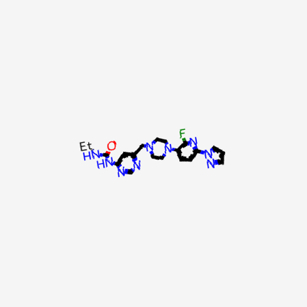 CCNC(=O)Nc1cc(CN2CCN(c3ccc(-n4cccn4)nc3F)CC2)ncn1